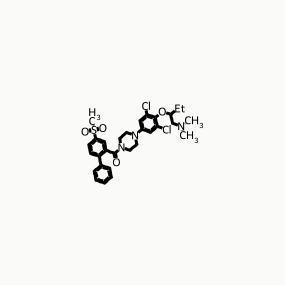 CCC(CN(C)C)Oc1c(Cl)cc(N2CCN(C(=O)c3cc(S(C)(=O)=O)ccc3-c3ccccc3)CC2)cc1Cl